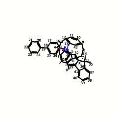 Cc1cc2ccc1CCc1ccc(c(N(c3ccc(-c4ccccc4)cc3)c3ccc4c(c3)C(C)(C)c3ccccc3-4)c1)CC2